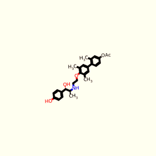 CC(=O)Oc1ccc(-c2cc(C)c(OCCN[C@@H](C)[C@@H](O)c3ccc(O)cc3)c(C)c2)c(C)c1